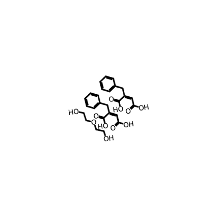 O=C(O)C=C(Cc1ccccc1)C(=O)O.O=C(O)C=C(Cc1ccccc1)C(=O)O.OCCOCCO